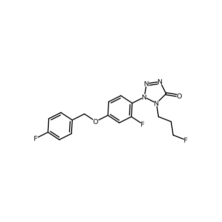 O=c1nnn(-c2ccc(OCc3ccc(F)cc3)cc2F)n1CCCF